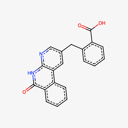 O=C(O)c1ccccc1Cc1cnc2[nH]c(=O)c3ccccc3c2c1